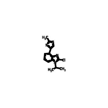 Cc1nc(-c2cccc3c2nc(Cl)n3C(C)C)cs1